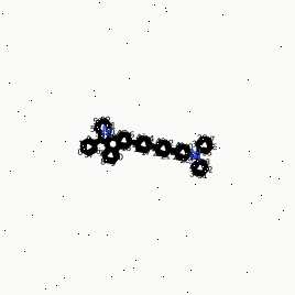 c1ccc(-c2c3c4ccccc4c4cc(-c5ccc(-c6ccc(-c7ccc(N(c8ccccc8)c8ccccc8)cc7)cc6)cc5)ccc4c3n3ccccc23)cc1